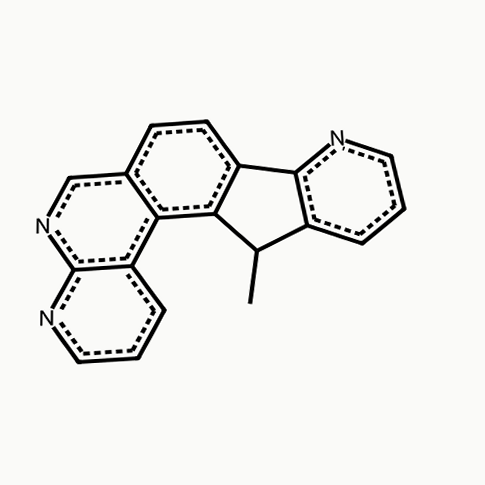 CC1c2cccnc2-c2ccc3cnc4ncccc4c3c21